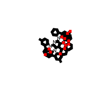 Cc1ccc2c(c1)c1ccccc1n2-c1nc(-n2c3ccccc3c3cc(C)ccc32)c(-n2c3ccccc3c3cc(C)ccc32)c(-c2ccccc2-c2nc3ccccc3o2)c1-n1c2ccccc2c2cc(C)ccc21